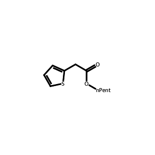 CCCCCOC(=O)Cc1cccs1